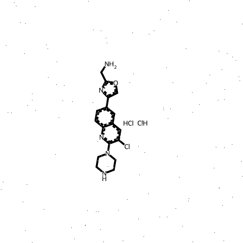 Cl.Cl.NCc1nc(-c2ccc3nc(N4CCNCC4)c(Cl)cc3c2)co1